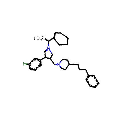 O=C(O)C(C1CCCCC1)N1CC(CN2CCC(CCCc3ccccc3)CC2)C(c2cccc(F)c2)C1